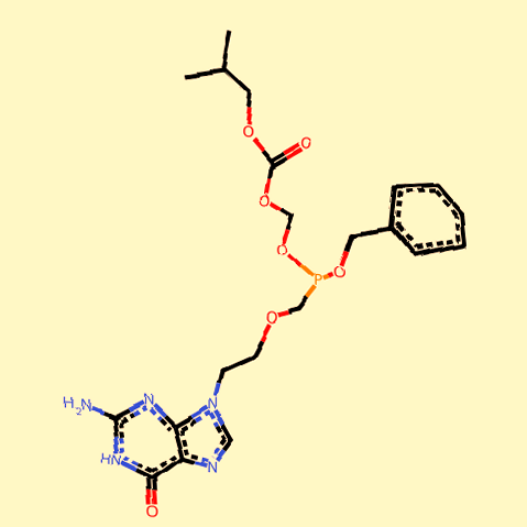 CC(C)COC(=O)OCOP(COCCn1cnc2c(=O)[nH]c(N)nc21)OCc1ccccc1